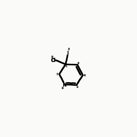 ClC1(I)C=CC=NC1